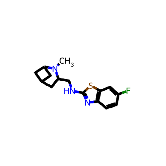 CN1C(CNc2nc3ccc(F)cc3s2)CC2CC1C2